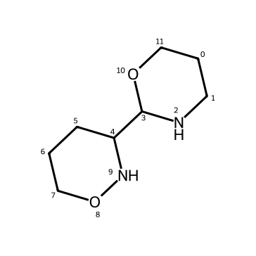 C1CNC(C2CCCON2)OC1